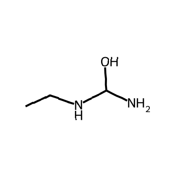 CCNC(N)O